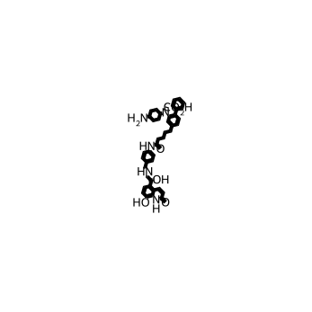 NC1CCC(N(C(=O)O)c2cc(CCCCC(=O)Nc3ccc(CNC[C@@H](O)c4ccc(O)c5[nH]c(=O)ccc45)cc3)ccc2-c2ccccc2)CC1